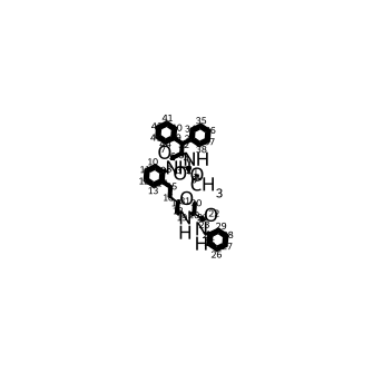 COC(=O)NC(C(=O)Nc1ccccc1CC[C@@H]1CN[C@H](C(=O)Nc2ccccc2)CO1)C(c1ccccc1)c1ccccc1